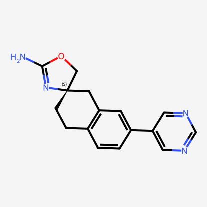 NC1=N[C@]2(CCc3ccc(-c4cncnc4)cc3C2)CO1